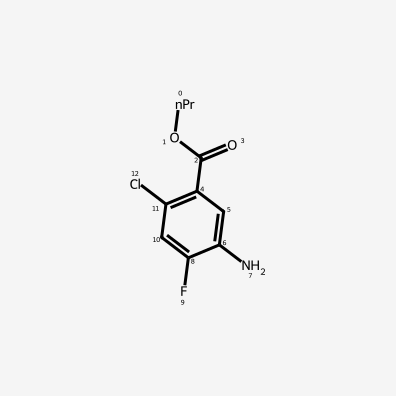 CCCOC(=O)c1cc(N)c(F)cc1Cl